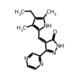 CCc1c(C)[nH]c(C=C2C(=O)NN=C2c2cnccn2)c1C